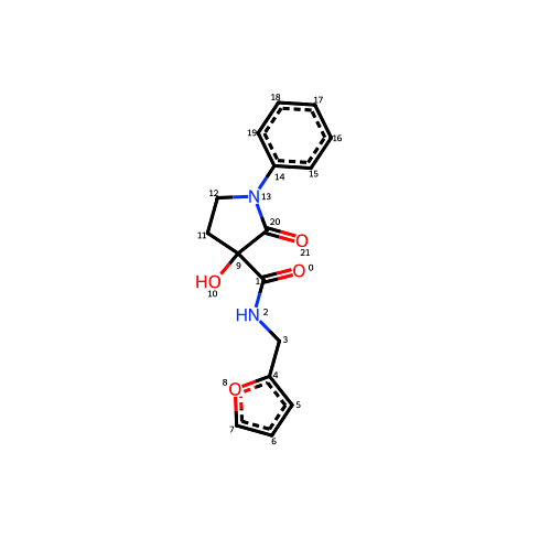 O=C(NCc1ccco1)C1(O)CCN(c2ccccc2)C1=O